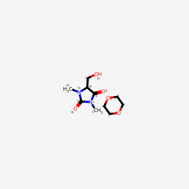 C1COCCO1.CN1C(=O)C(CO)N(C)C1=O